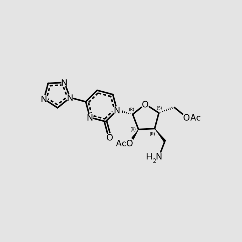 CC(=O)OC[C@H]1O[C@@H](n2ccc(-n3cncn3)nc2=O)[C@H](OC(C)=O)[C@@H]1CN